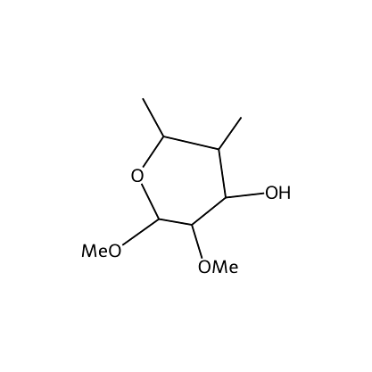 COC1OC(C)C(C)C(O)C1OC